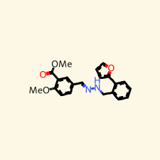 COC(=O)c1cc(C=NNCc2ccccc2-c2ccco2)ccc1OC